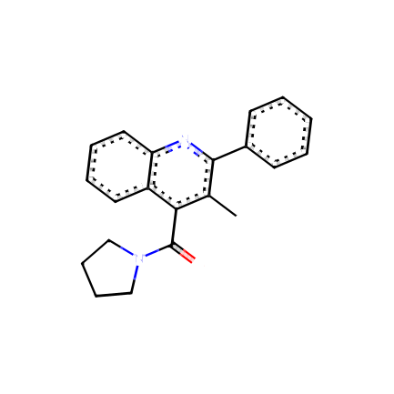 Cc1c(-c2ccccc2)nc2ccccc2c1C(=O)N1CCCC1